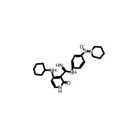 N=C(Nc1ccc([S+]([O-])N2CCCCC2)cc1)c1c(NC2CCCCC2)cc[nH]c1=O